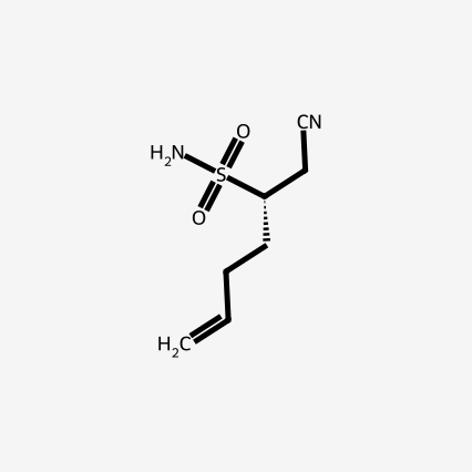 C=CCC[C@@H](CC#N)S(N)(=O)=O